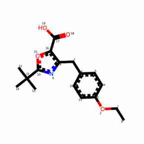 CCOc1ccc(Cc2nc(C(C)(C)C)oc2C(=O)O)cc1